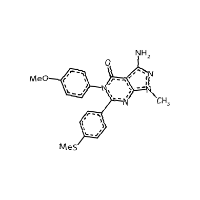 COc1ccc(-n2c(-c3ccc(SC)cc3)nc3c(c(N)nn3C)c2=O)cc1